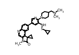 CN(C)CC1CCN(c2ncc(-c3ccc4ncc5c(c4c3)C3(CC3)C(=O)N5C)cc2NSC2CC2)CC1